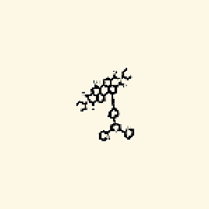 CCC(CC)N1C(=O)c2ccc3c4c(C#Cc5ccc(-c6cc(-c7ccccn7)nc(-c7ccccn7)c6)cc5)cc5c6c(ccc(c7c(O)cc(c2c37)C1=O)c64)C(=O)N(C(CC)CC)C5=O